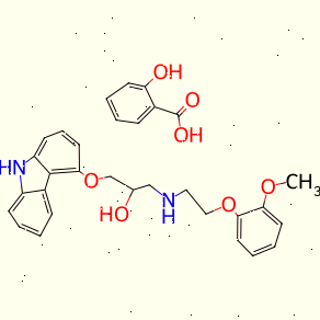 COc1ccccc1OCCNCC(O)COc1cccc2[nH]c3ccccc3c12.O=C(O)c1ccccc1O